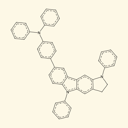 c1ccc(N2CCc3cc4c(cc32)c2cc(-c3ccc(N(c5ccccc5)c5ccccc5)cc3)ccc2n4-c2ccccc2)cc1